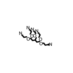 N#CCCOC(CC(COCC#N)CC(OCCC#N)OCCC#N)OCCC#N